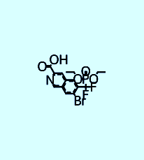 CCOP(=O)(OCC)C(F)(F)c1cc2cc(C(=O)O)ncc2cc1Br